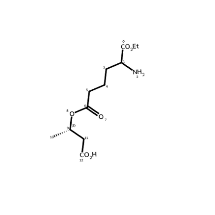 CCOC(=O)C(N)CCCC(=O)O[C@@H](C)CC(=O)O